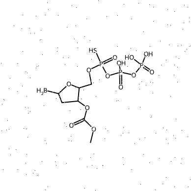 BC1CC(OC(=O)OC)C(COP(=O)(S)OP(=O)(O)OP(=O)(O)O)O1